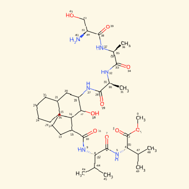 COC(=O)[C@@H](NC(=O)[C@@H](NC(=O)C1CCCC1C(O)C(CC1CCCCC1)NC(=O)[C@H](C)NC(=O)[C@H](C)NC(=O)[C@@H](N)CO)C(C)C)C(C)C